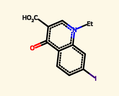 CCn1cc(C(=O)O)c(=O)c2ccc(I)cc21